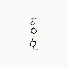 COc1ccc(CSc2ccc([C@H]3C[C@@H](OC)C3)cc2)cc1